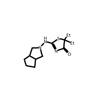 CCC1(CC)SC(NN2CC3CCCC3C2)=NC1=O